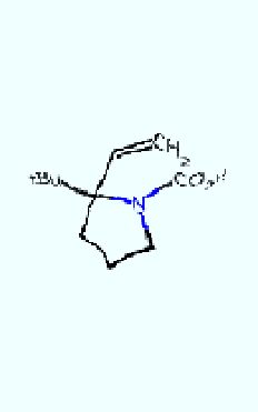 C=CC1(C(C)(C)C)CCCN1C(=O)O